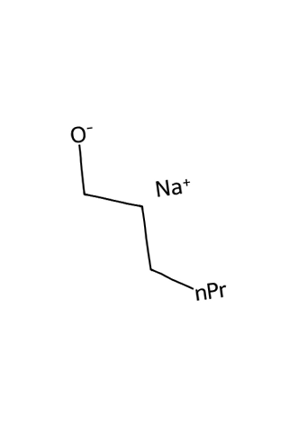 CCCCCC[O-].[Na+]